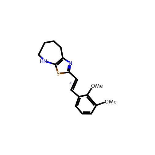 COc1cccc(/C=C/c2nc3c(s2)NCCCC3)c1OC